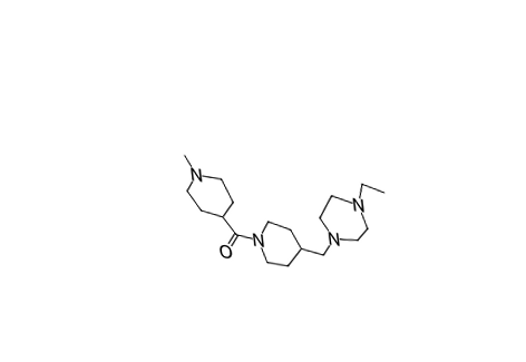 CCN1CCN(CC2CCN(C(=O)C3CCN(C)CC3)CC2)CC1